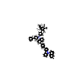 [2H]c1c([2H])c([2H])c(-c2ccc(N(c3ccc(-c4ccccc4)cc3)c3cccc4c(-c5ccc(-c6ccc7c(c6)c6ccccc6n7-c6cccc7ccccc67)cc5)cccc34)cc2)c([2H])c1[2H]